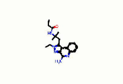 CCC(=O)NC(C)(C)Cc1c2c(nn1CC)c(N)nc1ccccc12